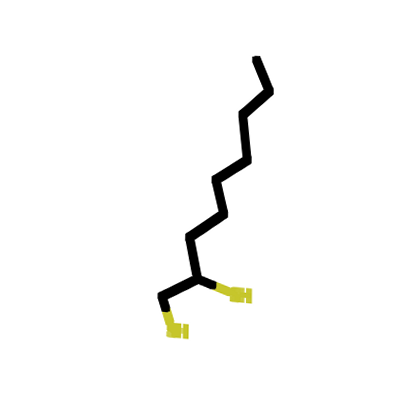 CCCCCCCC(S)CS